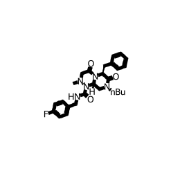 CCCCN1C[C@H]2N(C(=O)CN(C)N2C(=O)NCc2ccc(F)cc2)[C@@H](Cc2ccccc2)C1=O